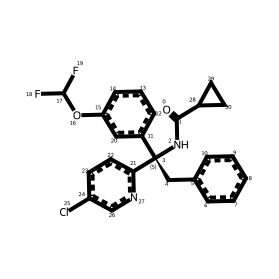 O=C(N[C@@](Cc1ccccc1)(c1cccc(OC(F)F)c1)c1ccc(Cl)cn1)C1CC1